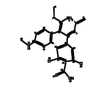 C=C/N=C(\C(=C(/N)CC)c1ccc(NC)nc1)c1cc(Cl)c(C(=O)O)c(Cl)c1